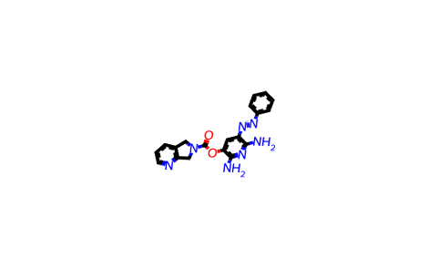 Nc1nc(N)c(OC(=O)N2Cc3cccnc3C2)cc1/N=N/c1ccccc1